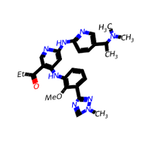 CCC(=O)c1cnc(Nc2ccc(C(C)N(C)C)cn2)cc1Nc1cccc(-c2ncn(C)n2)c1OC